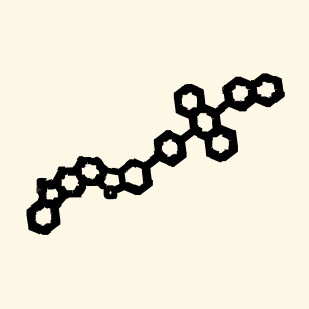 C1=C(c2ccc(-c3c4ccccc4c(-c4ccc5ccccc5c4)c4ccccc34)cc2)CC2C(=C1)Oc1c2ccc2cc3sc4ccccc4c3cc12